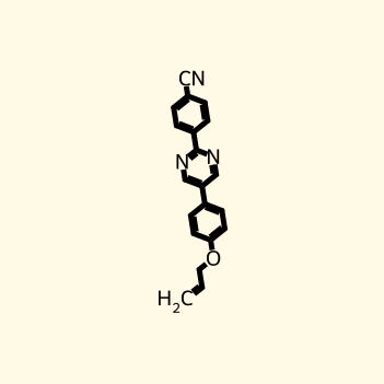 C=CCOc1ccc(-c2cnc(-c3ccc(C#N)cc3)nc2)cc1